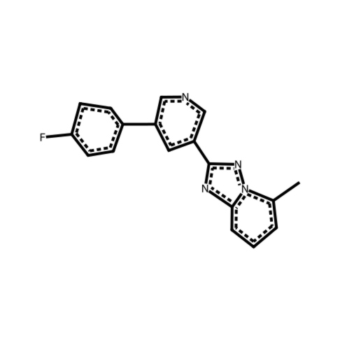 Cc1cccc2nc(-c3cncc(-c4ccc(F)cc4)c3)nn12